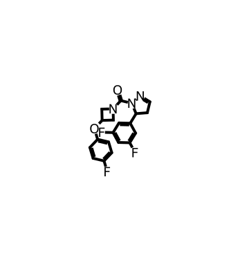 O=C(N1CC(Oc2ccc(F)cc2)C1)N1N=CCC1c1cc(F)cc(F)c1